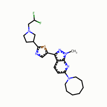 Cn1nc(-c2cnc(C3CCN(CC(F)F)C3)s2)c2ccc(N3CCCCCCC3)nc21